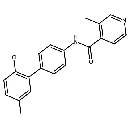 Cc1ccc(Cl)c(-c2ccc(NC(=O)c3ccncc3C)cc2)c1